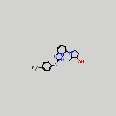 OC1CCN(c2cccc3nc(Nc4ccc(C(F)(F)F)cc4)nn23)C1I